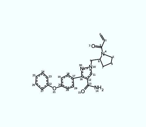 C=CC(=O)N1CCCC1Cn1cc(C(N)=O)c(-c2ccc(Oc3ccccc3)cc2)n1